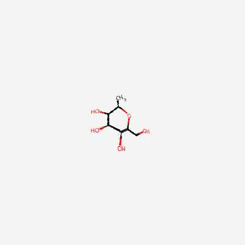 C[C@H]1OC(CO)[C@@H](O)[C@@H](O)C1O